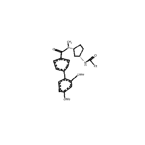 CCC(=O)N[C@H]1CC[C@@H](N(C)C(=O)c2ccc(-c3ccc(OC)cc3OC)cc2)C1